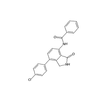 O=C(Nc1ccc(-c2ccc(Cl)cc2)c2c1C(=O)NC2)c1ccccc1